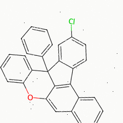 Clc1ccc2c(c1)C1(c3ccccc3)c3ccccc3Oc3cc4ccccc4c-2c31